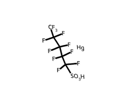 O=S(=O)(O)C(F)(F)C(F)(F)C(F)(F)C(F)(F)C(F)(F)F.[Hg]